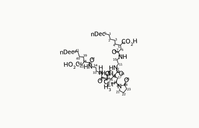 CCCCCCCCCCCCCCC(CC(=O)NCCNC(=O)C(C)(CC(CC)N1CCCC1=O)CC(C)(C)C(=O)NCCNC(=O)C(CCCCCCCCCCCCC)CC(=O)O)C(=O)O